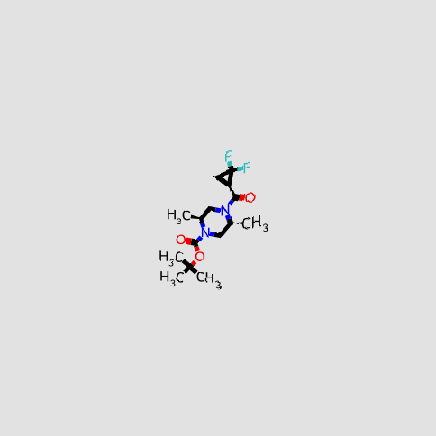 C[C@@H]1CN(C(=O)OC(C)(C)C)[C@@H](C)CN1C(=O)[C@H]1CC1(F)F